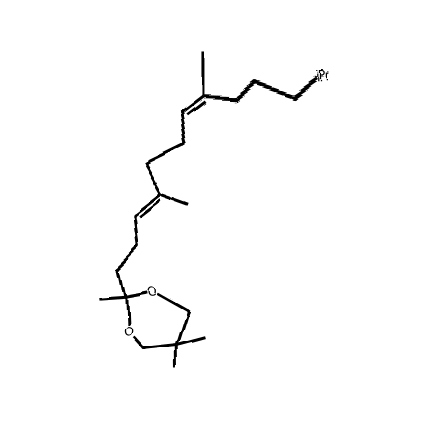 C/C(=C/CC/C(C)=C/CCC1(C)OCC(C)(C)CO1)CCCC(C)C